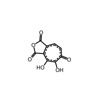 O=C1OC(=O)c2c1ccc(=O)c(O)c2O